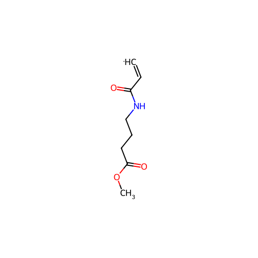 [CH]=CC(=O)NCCCC(=O)OC